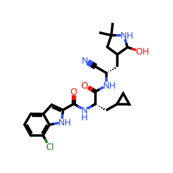 CC1(C)CC(C[C@@H](C#N)NC(=O)[C@H](CC2CC2)NC(=O)c2cc3cccc(Cl)c3[nH]2)C(O)N1